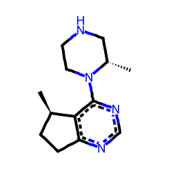 C[C@@H]1CCc2ncnc(N3CCNC[C@@H]3C)c21